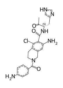 CC(=O)[C@H](Cc1c[nH]cn1)NC(=O)c1c(N)cc2c(c1Cl)CCN(C(=O)c1ccc(N)cc1)C2